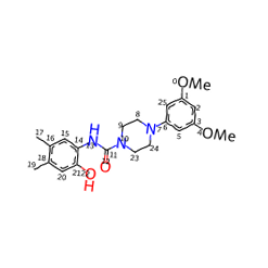 COc1cc(OC)cc(N2CCN(C(=O)Nc3cc(C)c(C)cc3O)CC2)c1